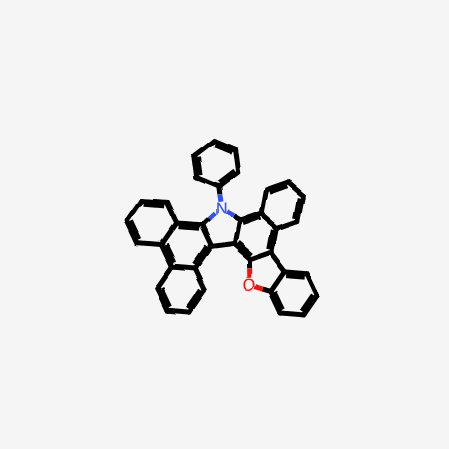 c1ccc(-n2c3c4ccccc4c4ccccc4c3c3c4oc5ccccc5c4c4ccccc4c32)cc1